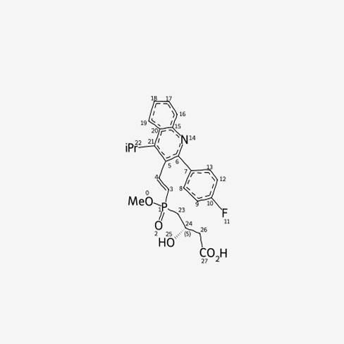 COP(=O)(C=Cc1c(-c2ccc(F)cc2)nc2ccccc2c1C(C)C)C[C@@H](O)CC(=O)O